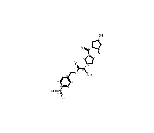 CN1C[C@@H](S)C[C@H]1C(=O)N1CC[C@H](C(N)C(=O)OCc2ccc([N+](=O)[O-])cc2)C1